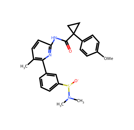 COc1ccc(C2(C(=O)Nc3ccc(C)c(-c4cccc([S+]([O-])N(C)C)c4)n3)CC2)cc1